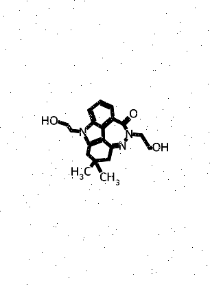 CC1(C)CC2=NN(CCO)C(=O)c3cccc4c3c2c(n4CCO)C1